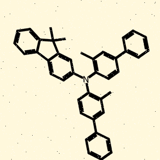 Cc1cc(-c2ccccc2)ccc1N(c1ccc2c(c1)C(C)(C)c1ccccc1-2)c1ccc(-c2ccccc2)cc1C